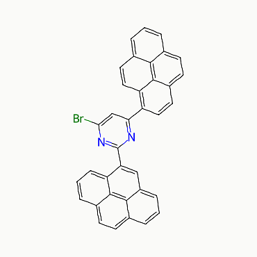 Brc1cc(-c2ccc3ccc4cccc5ccc2c3c45)nc(-c2cc3cccc4ccc5cccc2c5c43)n1